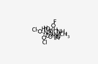 CC(C)[C@H](NC(=O)[C@H](C)N)C(=O)N1C[C@H](c2ccc(F)cc2)[C@@H](O)[C@H]1C(=O)NC(c1ccc(Cl)cc1)c1ccc(Cl)cc1